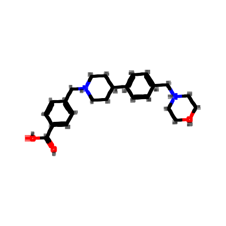 O=C(O)c1ccc(CN2CCC(c3ccc(CN4CCOCC4)cc3)CC2)cc1